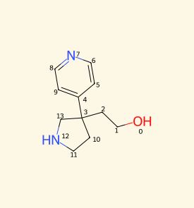 OCCC1(c2ccncc2)CCNC1